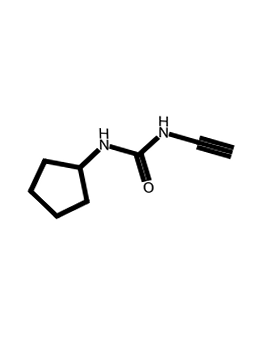 C#CNC(=O)NC1CCCC1